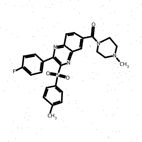 Cc1ccc(S(=O)(=O)c2nc3cc(C(=O)N4CCN(C)CC4)ccc3nc2-c2ccc(F)cc2)cc1